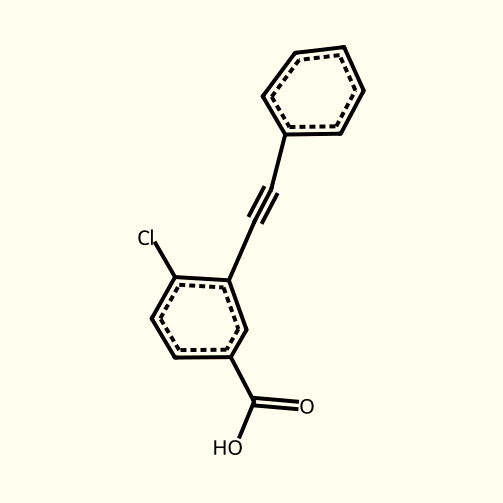 O=C(O)c1ccc(Cl)c(C#Cc2ccccc2)c1